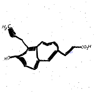 C=CCc1c(O)ccc2cc(/C=C/C(=O)O)ccc12